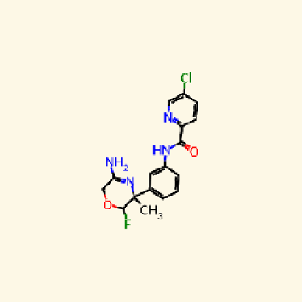 CC1(c2cccc(NC(=O)c3ccc(Cl)cn3)c2)N=C(N)COC1F